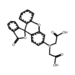 O=C(O)CN(CC(=O)O)c1ccc2c(c1)Oc1ccccc1C21OC(=O)c2ccccc21